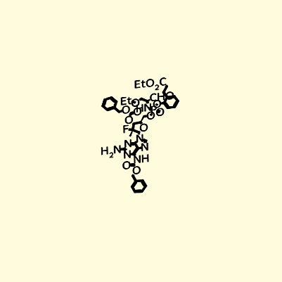 CCOC[C@@H](C=O)N[P@](=O)(OC[C@H]1O[C@@H](n2cnc3c(NC(=O)OCc4ccccc4)nc(N)nc32)[C@](C)(F)[C@@H]1OC(=O)OCc1ccccc1)Oc1ccccc1CCC(=O)OCC